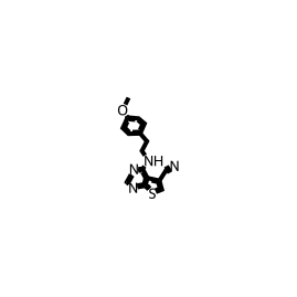 COc1ccc(CCNc2ncnc3scc(C#N)c23)cc1